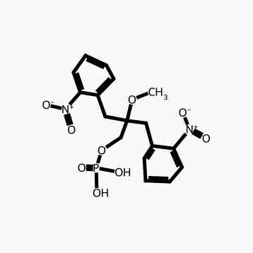 COC(COP(=O)(O)O)(Cc1ccccc1[N+](=O)[O-])Cc1ccccc1[N+](=O)[O-]